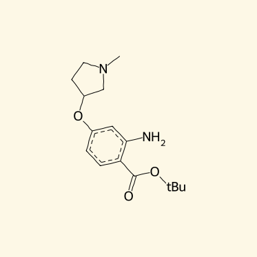 CN1CCC(Oc2ccc(C(=O)OC(C)(C)C)c(N)c2)C1